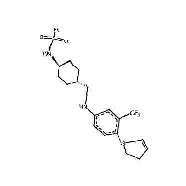 CCS(=O)(=O)N[C@H]1CC[C@H](CNc2ccc(N3C=CCC3)c(C(F)(F)F)c2)CC1